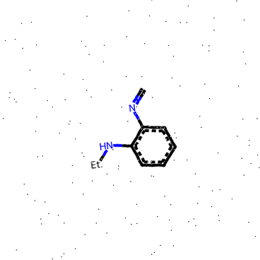 C=Nc1ccccc1NCC